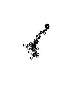 Cc1cc(C)c(CNC(=O)c2cc(-c3ccc(N4CCN(CCNC(=O)CCC56CC7CC(CC5C7)C6)CC4)nc3)cc(NC(C)C)c2C=N)c(=O)[nH]1